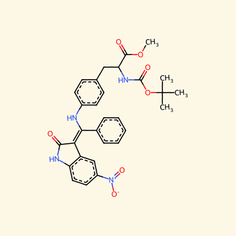 COC(=O)C(Cc1ccc(N/C(=C2\C(=O)Nc3ccc([N+](=O)[O-])cc32)c2ccccc2)cc1)NC(=O)OC(C)(C)C